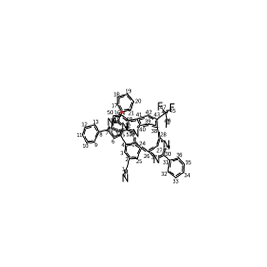 N#Cc1cc(-c2cc(-c3ccccc3)nc(-c3ccccc3)n2)c2c(c1)c1cc(nc(-c3ccccc3)n1)c1cc3c(cc1C(F)(F)F)c1ccccc1n32